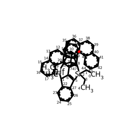 CC[Si]1(CC)C2=C(c3cccc4ccc5ccccc5c34)[CH](c3ccccc32)[Hf]([CH3])([CH3])[CH]2C(c3cccc4ccc5ccccc5c34)=C1c1ccccc12